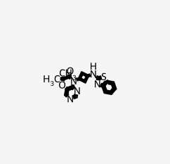 CC1(C)Oc2cncnc2N(C2CC(Nc3nc4ccccc4s3)C2)C1=O